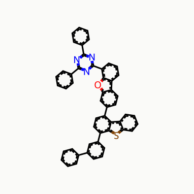 c1ccc(-c2cccc(-c3ccc(-c4ccc5c(c4)oc4c(-c6nc(-c7ccccc7)nc(-c7ccccc7)n6)cccc45)c4c3sc3ccccc34)c2)cc1